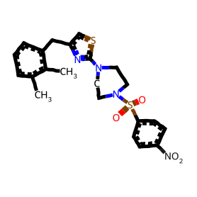 Cc1cccc(Cc2csc(N3CCN(S(=O)(=O)c4ccc([N+](=O)[O-])cc4)CC3)n2)c1C